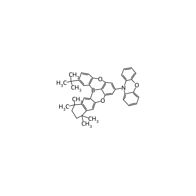 CC(C)(C)c1ccc2c(c1)B1c3cc4c(cc3Oc3cc(N5c6ccccc6Oc6ccccc65)cc(c31)O2)C(C)(C)CCC4(C)C